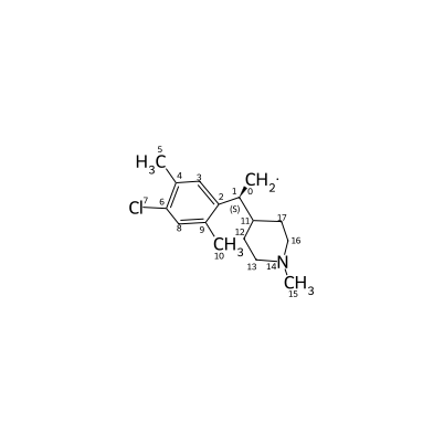 [CH2][C@H](c1cc(C)c(Cl)cc1C)C1CCN(C)CC1